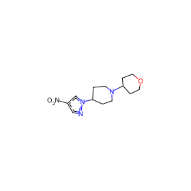 O=[N+]([O-])c1cnn(C2CCN(C3CCOCC3)CC2)c1